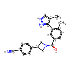 Cc1ccc(C(=O)N2CC(c3ccc(C#N)cc3)C2)cc1-c1[nH]ncc1C